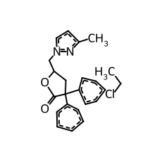 CCCl.Cc1ccn(CC2CC(c3ccccc3)(c3ccccc3)C(=O)O2)n1